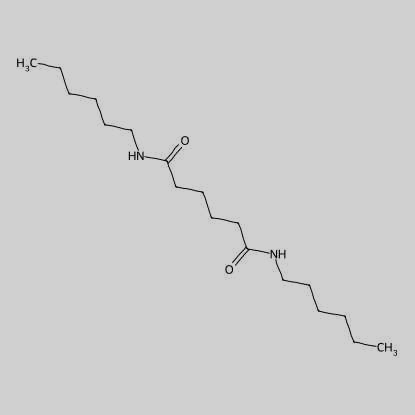 CCCCCCNC(=O)CCCCC(=O)NCCCCCC